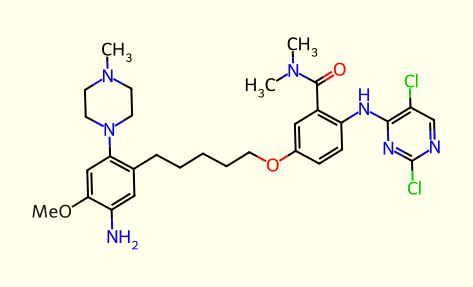 COc1cc(N2CCN(C)CC2)c(CCCCCOc2ccc(Nc3nc(Cl)ncc3Cl)c(C(=O)N(C)C)c2)cc1N